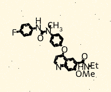 CCNC(=O)c1cc2c(Oc3ccc(N(C)C(=O)Nc4ccc(F)cc4)cc3)ccnc2cc1OC